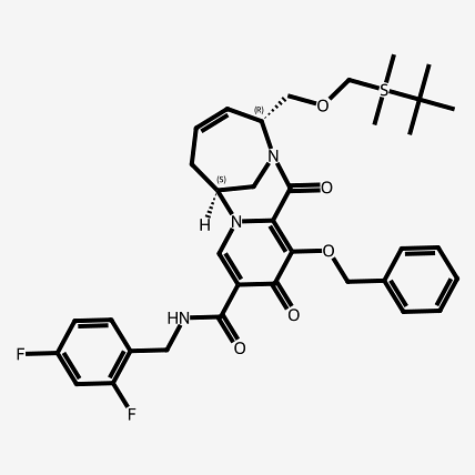 CC(C)(C)S(C)(C)COC[C@H]1C=CC[C@H]2CN1C(=O)c1c(OCc3ccccc3)c(=O)c(C(=O)NCc3ccc(F)cc3F)cn12